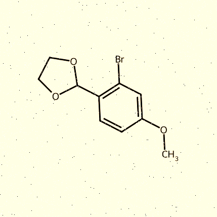 COc1ccc(C2OCCO2)c(Br)c1